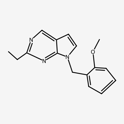 CCc1ncc2ccn(Cc3ccccc3OC)c2n1